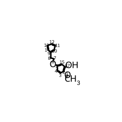 COc1ccc(OCCc2ccccc2)cc1O